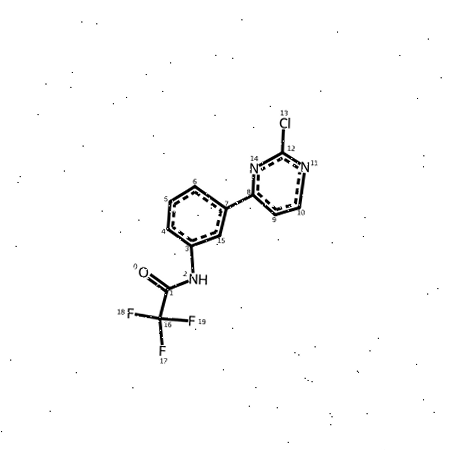 O=C(Nc1cccc(-c2ccnc(Cl)n2)c1)C(F)(F)F